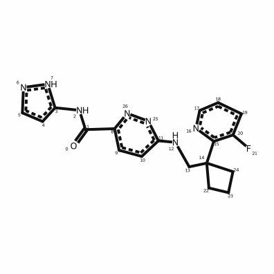 O=C(Nc1ccn[nH]1)c1ccc(NCC2(c3ncccc3F)CCC2)nn1